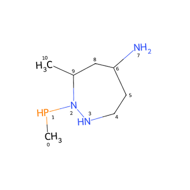 CPN1NCCC(N)CC1C